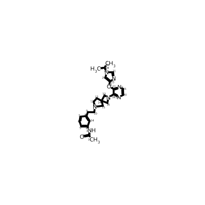 CC(=O)Nc1cccc(CCN2CCC3(C2)CN(c2nccnc2Oc2cn(C(C)C)cn2)C3)c1